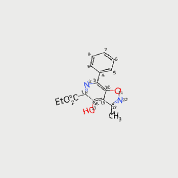 CCOC(=O)c1nc(-c2ccccc2)c2onc(C)c2c1O